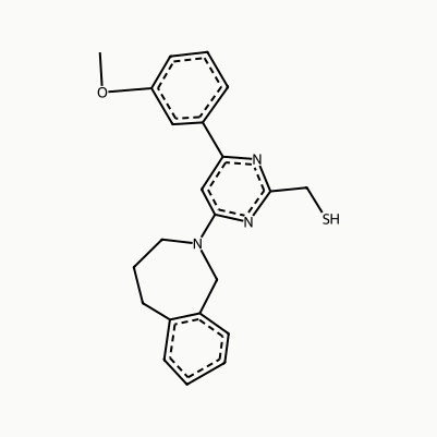 COc1cccc(-c2cc(N3CCCc4ccccc4C3)nc(CS)n2)c1